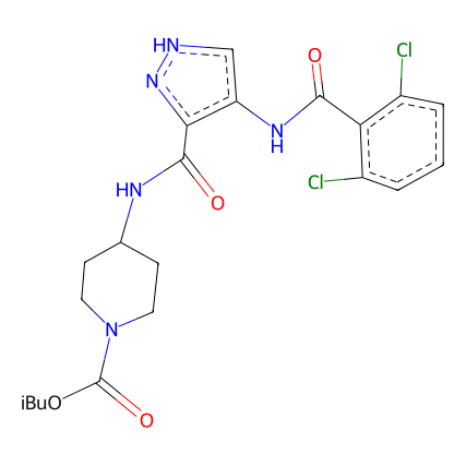 CC(C)COC(=O)N1CCC(NC(=O)c2n[nH]cc2NC(=O)c2c(Cl)cccc2Cl)CC1